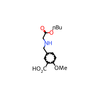 CCCCOC(=O)CNCc1ccc(OC)c(C(=O)O)c1